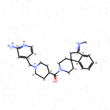 C/N=C1/CC2(CCN(C(=O)C3CCN(Cc4ccnc(N)c4)CC3)CC2)c2ccccc21